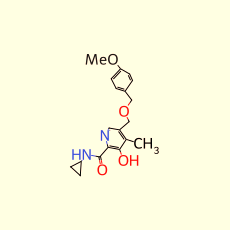 COc1ccc(COCc2cnc(C(=O)NC3CC3)c(O)c2C)cc1